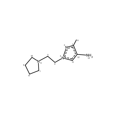 Cc1nn(CCN2CCCC2)cc1N